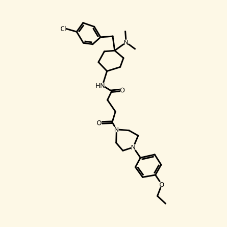 CCOc1ccc(N2CCN(C(=O)CCC(=O)NC3CCC(Cc4ccc(Cl)cc4)(N(C)C)CC3)CC2)cc1